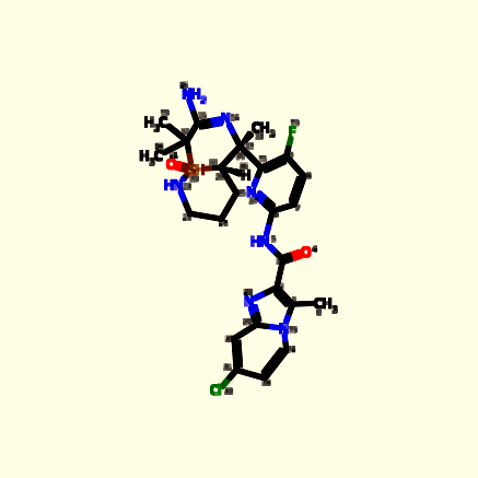 Cc1c(C(=O)Nc2ccc(F)c([C@@]3(C)N=C(N)C(C)(C)[SH]4(=O)NCCC[C@@H]34)n2)nc2cc(Cl)ccn12